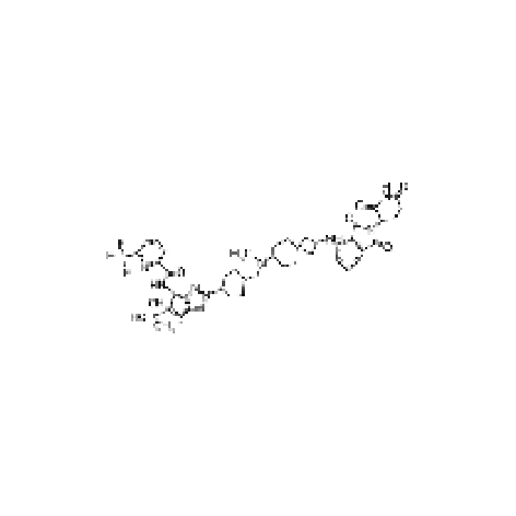 CN(CC1CCC(n2cc3sc(C(C)(C)O)c(NC(=O)c4cccc(C(F)(F)F)n4)c3n2)CC1)C1CCC2(CC1)CC(Nc1cccc3c1C(=O)N(C1CCC(=O)NC1=O)C3=O)C2